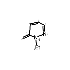 C=C1C=CC=NN1CC